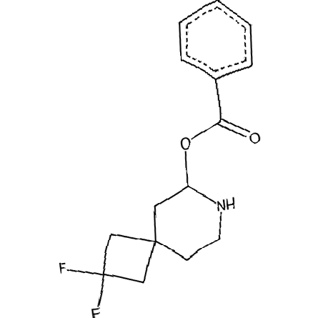 O=C(OC1CC2(CCN1)CC(F)(F)C2)c1ccccc1